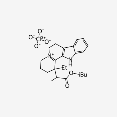 CCC(C)OC(=O)C(C)C1(CC)CCC[N+]2=C1c1[nH]c3ccccc3c1CC2.[O-][Cl+3]([O-])([O-])[O-]